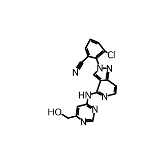 N#Cc1cccc(Cl)c1-n1cc2c(Nc3cc(CO)ncn3)nccc2n1